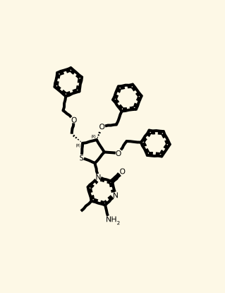 Cc1cn(C2S[C@H](COCc3ccccc3)[C@H](OCc3ccccc3)C2OCc2ccccc2)c(=O)nc1N